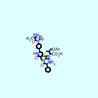 CC(=O)OCC1=C(C(=O)O)N2C(=O)C(N(Cc3ccc(-c4ccc(N(C(C)=O)C(=O)C(C)(C)N)cc4)[nH]c3=O)C(=O)C(N)c3ccccc3)[C@@H]2SC1